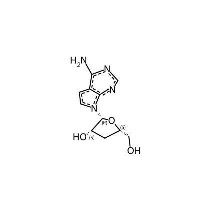 Nc1ncnc2c1ccn2[C@@H]1O[C@H](CO)C[C@@H]1O